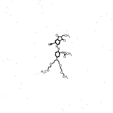 CCOCCOCCN(CCOCCOC)c1ccc(N=Nc2cc3c(cc2C#N)C(=O)C(CC)C3=O)c(NC(C)=O)c1